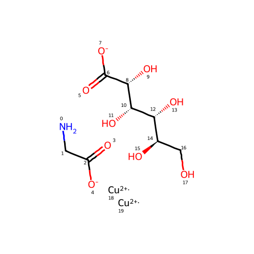 NCC(=O)[O-].O=C([O-])[C@H](O)[C@@H](O)[C@H](O)[C@H](O)CO.[Cu+2].[Cu+2]